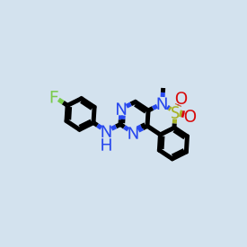 CN1c2cnc(Nc3ccc(F)cc3)nc2-c2ccccc2S1(=O)=O